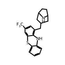 FC(F)(F)c1cc(CC2CC3CCC(C2)N3)c2c(c1)Sc1ccccc1N2